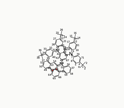 CC(C)(C)c1ccc(N2c3ccc(C(C)(C)C)cc3B3c4cc(C(C)(C)C)ccc4N(c4ccc(C(C)(C)C)cc4)c4cc(N(c5ccc6ccccc6c5)c5ccccc5-c5ccccc5)cc2c43)cc1